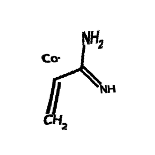 C=CC(=N)N.[Co]